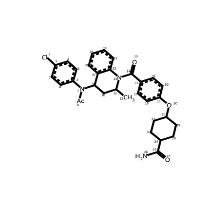 CC(=O)N(c1ccc(Cl)cc1)C1CC(C)N(C(=O)c2ccc(OC3CCC(C(N)=O)CC3)cc2)c2ccccc21